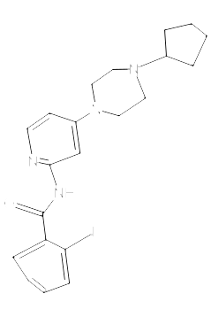 O=C(Nc1cc(N2CCN(C3CCCC3)CC2)ccn1)c1ccccc1F